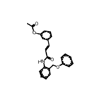 CC(=O)Oc1cccc(C=CC(=O)Nc2ccccc2COc2ccccc2)c1